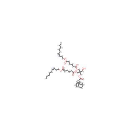 CCCCC/C=C\CCOC(=O)CCCCC(=O)OCC(CO)(COC(=O)CCCCC(=O)OCC/C=C\CCCCC)COC(=O)CC12CC3CC(CC(C3)C1)C2